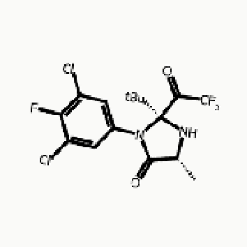 C[C@H]1N[C@@](C(=O)C(F)(F)F)(C(C)(C)C)N(c2cc(Cl)c(F)c(Cl)c2)C1=O